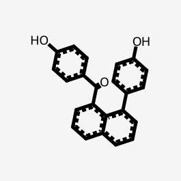 O=C(c1ccc(O)cc1)c1cccc2cccc(-c3ccc(O)cc3)c12